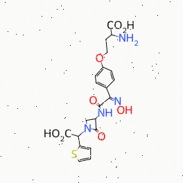 NC(CCOc1ccc(C(=NO)C(=O)NC2CN(C(C(=O)O)c3cccs3)C2=O)cc1)C(=O)O